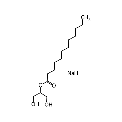 CCCCCCCCCCCC(=O)OC(CO)CO.[NaH]